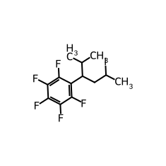 CC(I)CC(c1c(F)c(F)c(F)c(F)c1F)C(C)C